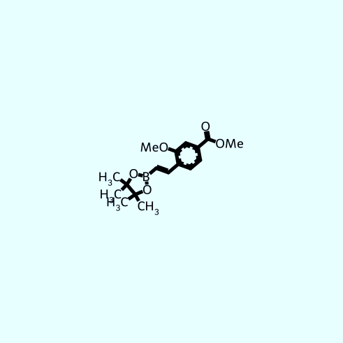 COC(=O)c1ccc(C=CB2OC(C)(C)C(C)(C)O2)c(OC)c1